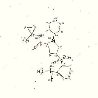 C=S(=O)(c1ccccc1C(C)(F)F)C1CC(C(=O)NC2(N)CC2)N(C2CCOCC2)C1